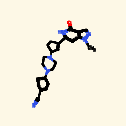 Cn1ncc2c(=O)[nH]c(C3=C[C@H](N4CCN(c5ccc(C#N)cc5)CC4)CC3)cc21